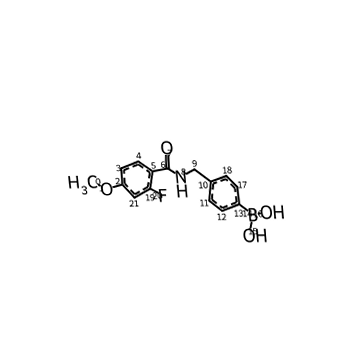 COc1ccc(C(=O)NCc2ccc(B(O)O)cc2)c(F)c1